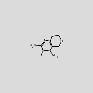 CN1C(N)=NC2=C(COCC2)C1N